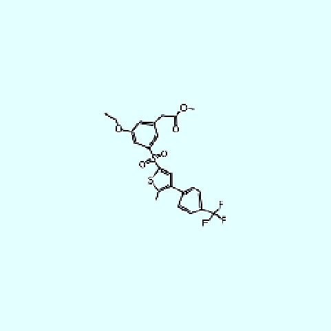 CCOc1cc(CC(=O)OC)cc(S(=O)(=O)c2cc(-c3ccc(C(F)(F)F)cc3)c(C)s2)c1